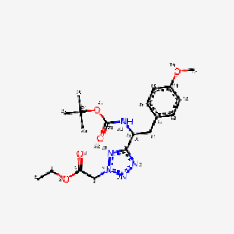 CCOC(=O)Cn1nnc([C@H](Cc2ccc(OC)cc2)NC(=O)OC(C)(C)C)n1